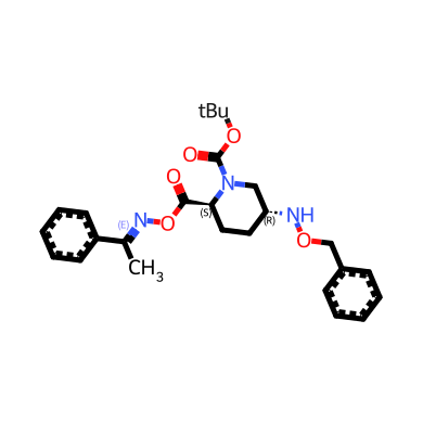 C/C(=N\OC(=O)[C@@H]1CC[C@@H](NOCc2ccccc2)CN1C(=O)OC(C)(C)C)c1ccccc1